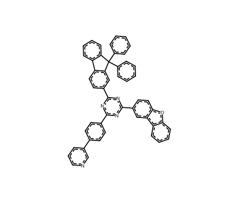 c1ccc(C2(c3ccccc3)c3ccccc3-c3ccc(-c4nc(-c5ccc(-c6cccnc6)cc5)nc(-c5ccc6oc7ccccc7c6c5)n4)cc32)cc1